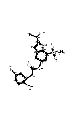 CS(=O)(=O)c1cc(NC(=O)Cc2cc(F)ccc2O)cc2cn(C(F)F)nc12